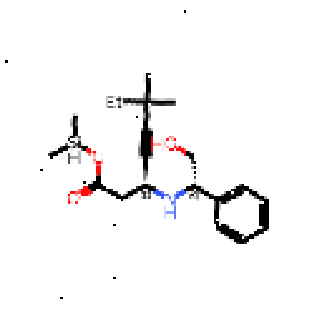 CCC(C)(C)C#C[C@H](CC(=O)O[SiH](C)C)N[C@H](CO)c1ccccc1